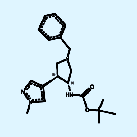 Cn1cc([C@H]2CN(Cc3ccccc3)C[C@@H]2NC(=O)OC(C)(C)C)cn1